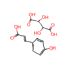 O=C(O)/C=C/c1ccc(O)cc1.O=C(O)C(O)C(O)C(=O)O